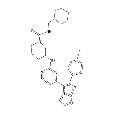 O=C(NCC1CCCCC1)N1CCC[C@@H](Nc2nccc(-c3c(-c4ccc(F)cc4)nc4occn34)n2)C1